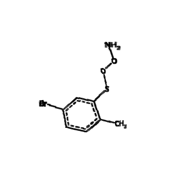 Cc1ccc(Br)cc1SOON